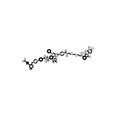 CC1(C)CCC(CN2CCN(c3ccc(C(=O)NS(=O)(=O)c4ccc(N[C@H](CCN5CCN(C(=O)NCCOCCOCCNc6cccc7c6C(=O)N(C6CCC(=O)NC6=O)C7=O)CC5)CSc5ccccc5)c(S(=O)(=O)C(F)(F)F)c4)cc3)CC2)=C(C23CC(C(F)F)(C2)C3)C1